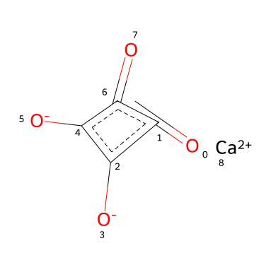 O=c1c([O-])c([O-])c1=O.[Ca+2]